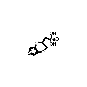 O=P(O)(O)CC1COc2cscc2O1